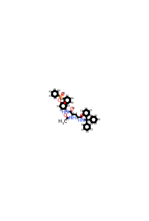 CC(=O)NC(CCC(=O)NC(c1ccccc1)(c1ccccc1)c1ccccc1)C(=O)Nc1ccc(OP(=O)(c2ccccc2)c2ccccc2)cc1